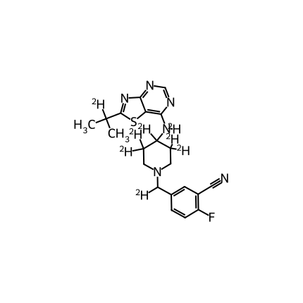 [2H]C(c1ccc(F)c(C#N)c1)N1CC([2H])([2H])C([2H])(N([2H])c2ncnc3nc(C([2H])(C)C)sc23)C([2H])([2H])C1